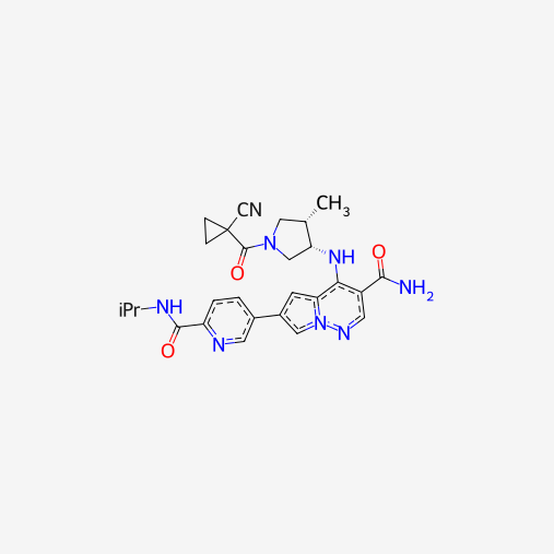 CC(C)NC(=O)c1ccc(-c2cc3c(N[C@@H]4CN(C(=O)C5(C#N)CC5)C[C@@H]4C)c(C(N)=O)cnn3c2)cn1